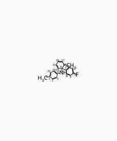 Cc1ccc(NC2(c3ccc(F)cc3)C=CC=CC2C)cc1